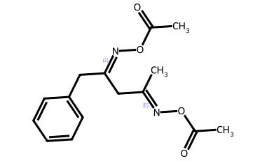 CC(=O)O/N=C(\C/C(C)=N/OC(C)=O)Cc1ccccc1